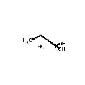 CCCCCCCC/C=C\CCCCCCCCCCCCCN(CCO)CCO.Cl